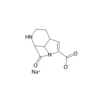 O=C([O-])C1=CC2CCNC3C(=O)N1C23.[Na+]